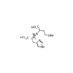 CSCCC(N)C(=O)O.NC(Cc1c[nH]cn1)C(=O)O